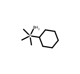 BP(C)(C)(C)C1CCCCC1